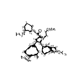 COCCn1c(C(=O)N2CCC[C@@H](N)C2)cc(-c2ccc(C#N)c(F)c2)c1-c1ccc2nn(C)cc2c1